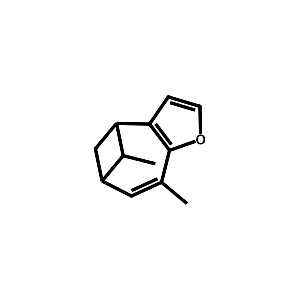 CC1=CC2CC(c3ccoc31)C2C